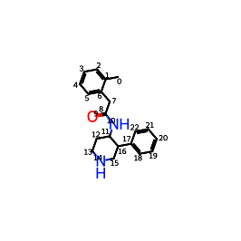 Cc1ccccc1CC(=O)NC1CCNCC1c1ccccc1